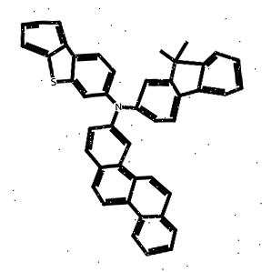 CC1(C)c2ccccc2-c2ccc(N(c3ccc4c(c3)sc3ccccc34)c3ccc4ccc5c6ccccc6ccc5c4c3)cc21